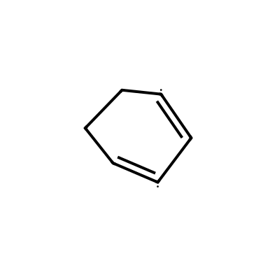 [C]1=C[C]=CCC1